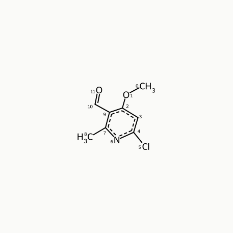 COc1cc(Cl)nc(C)c1C=O